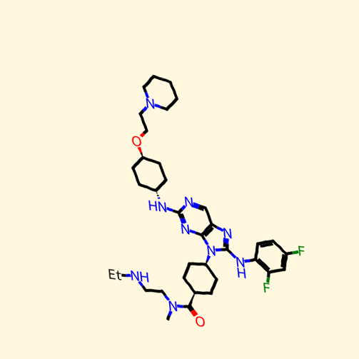 CCNCCN(C)C(=O)[C@H]1CC[C@@H](n2c(Nc3ccc(F)cc3F)nc3cnc(N[C@H]4CC[C@H](OCCN5CCCCC5)CC4)nc32)CC1